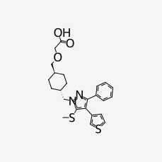 CSc1c(-c2ccsc2)c(-c2ccccc2)nn1C[C@H]1CC[C@H](COCC(=O)O)CC1